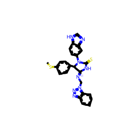 CSc1ccc(C2/C(=N/Cn3nnc4ccccc43)NC(=S)N2c2ccc3[nH]cnc3c2)cc1